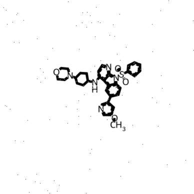 COc1cncc(-c2ccc3c(c2)c2c(NC4CCC(N5CCOCC5)CC4)ccnc2n3S(=O)(=O)c2ccccc2)c1